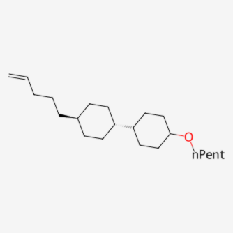 C=CCCC[C@H]1CC[C@H](C2CCC(OCCCCC)CC2)CC1